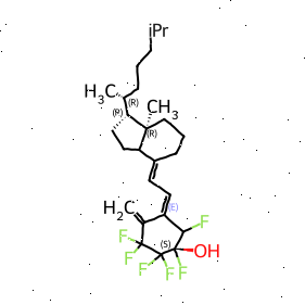 C=C1/C(=C\C=C2CCC[C@@]3(C)C2CC[C@@H]3[C@H](C)CCCC(C)C)C(F)[C@](O)(F)C(F)(F)C1(F)F